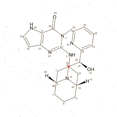 Cn1c(NC2C[C@H]3CCC[C@@H](C2)N3C[C@H](O)c2ccccn2)nc2cc[nH]c2c1=O